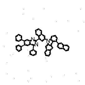 c1ccc(-c2cc3nc(-c4cc(-n5c6cc7ccccc7cc6c6c(-c7ccc8ccccc8c7)cccc65)cc5ccccc45)nc(-c4ccccc4)c3cc2-c2ccccc2)cc1